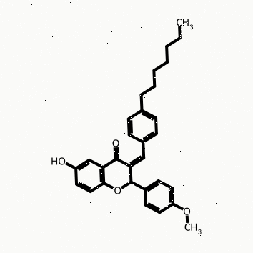 CCCCCCCc1ccc(C=C2C(=O)c3cc(O)ccc3OC2c2ccc(OC)cc2)cc1